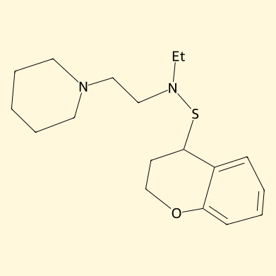 CCN(CCN1CCCCC1)SC1CCOc2ccccc21